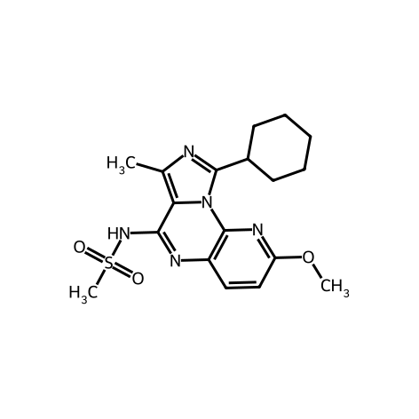 COc1ccc2nc(NS(C)(=O)=O)c3c(C)nc(C4CCCCC4)n3c2n1